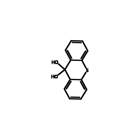 OC1(O)c2ccccc2Sc2ccccc21